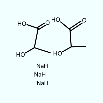 CC(O)C(=O)O.CC(O)C(=O)O.[NaH].[NaH].[NaH]